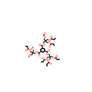 C=CC(=O)OCC(COC)(COC)COC(=O)c1cc(C(=O)OCC(COC=O)(COC(=O)C=C)COC(=O)C=C)cc(C(=O)OCC(COC(=O)C=C)(COC(=O)C=C)COC(=O)C=C)c1